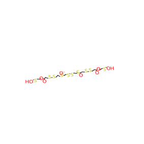 O=C(CCSCSCCC[S+]([O-])CCSCSCCSC(=O)CCSCSCCC(=O)OCCSCO)OCCSCO